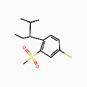 CCC(c1ccc(F)cc1S(C)(=O)=O)C(C)C